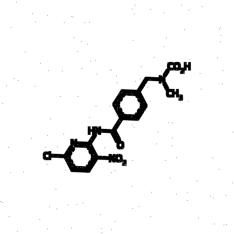 CN(Cc1ccc(C(=O)Nc2nc(Cl)ccc2[N+](=O)[O-])cc1)C(=O)O